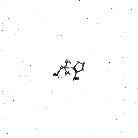 CCCC[O][Ti]([CH3])([CH3])[C]1=C(CCCC)C=CC1